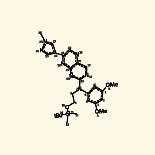 COc1cc(OC)cc(N(CCO[Si](C)(C)C(C)(C)C)c2ncc3ncc(-c4cnn(C)c4)nc3n2)c1